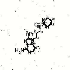 CCCc1nc2c(N)ncc(C)c2n1CCC[S+]([O-])c1ncccn1